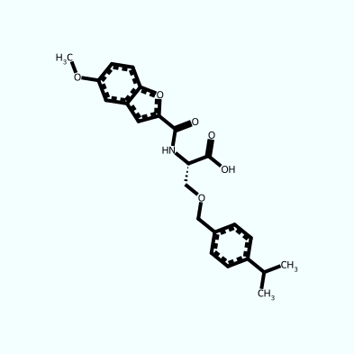 COc1ccc2oc(C(=O)N[C@@H](COCc3ccc(C(C)C)cc3)C(=O)O)cc2c1